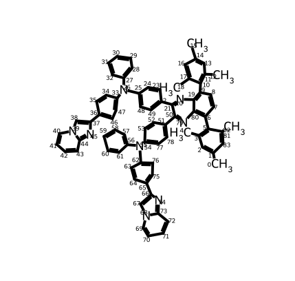 Cc1cc(C)c(-c2ccc(-c3c(C)cc(C)cc3C)c3nc(-c4ccc(N(c5ccccc5)c5ccc(-c6cn7ccccc7n6)cc5)cc4)c(-c4ccc(N(c5ccccc5)c5ccc(-c6cn7ccccc7n6)cc5)cc4)nc23)c(C)c1